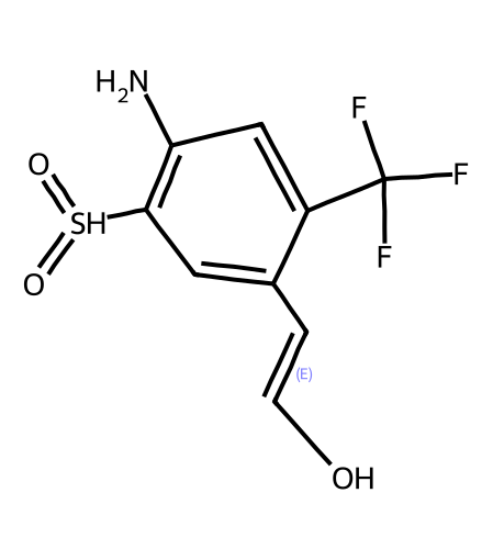 Nc1cc(C(F)(F)F)c(/C=C/O)cc1[SH](=O)=O